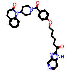 O=C(CCCCCOc1ccc(C(=O)N2CCC(N3C(=O)CCc4ccccc43)CC2)cc1)c1nc2cnccc2[nH]1